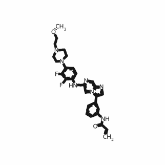 C=CC(=O)Nc1cccc(-c2cnc3cnc(Nc4ccc(N5CCN(CCOC)CC5)c(F)c4F)cn23)c1